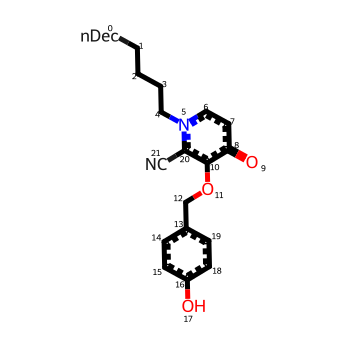 CCCCCCCCCCCCCCn1ccc(=O)c(OCc2ccc(O)cc2)c1C#N